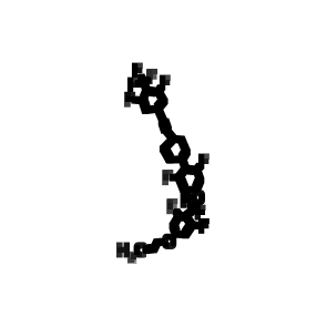 C=CCOc1cc(F)c(C(F)(F)Oc2cc(F)c(C3=CCC(C#Cc4cc(F)c(C(F)(F)F)c(F)c4)C=C3)c(F)c2)c(F)c1